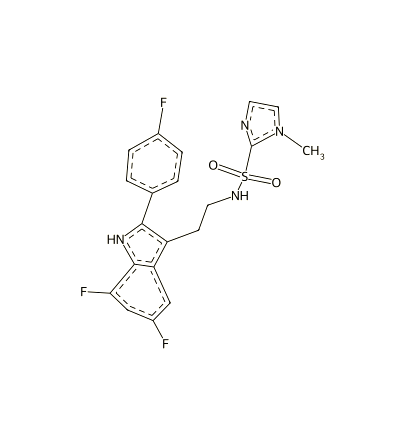 Cn1ccnc1S(=O)(=O)NCCc1c(-c2ccc(F)cc2)[nH]c2c(F)cc(F)cc12